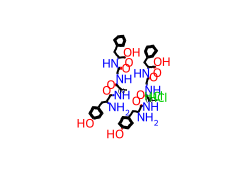 C[C@@H](NC(=O)C(N)Cc1ccc(O)cc1)C(=O)NCC(=O)NC(Cc1ccccc1)C(=O)O.C[C@@H](NC(=O)C(N)Cc1ccc(O)cc1)C(=O)NCC(=O)NC(Cc1ccccc1)C(=O)O.Cl.Cl